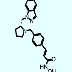 O=C(C=Cc1ccc(CN2CCC[C@@H]2Cn2ncc3ccccc32)cc1)NO